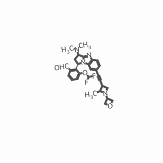 CC1C(C#Cc2ccc3nc4n(c3c2)[C@@H](c2c(C=O)cccc2OC(F)F)CC4N(C)C)CN1C1COC1